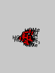 CN[C@H](CC(C)C)C(=O)N[C@H]1C(=O)N[C@@H](CC(N)=O)C(=O)N[C@H]2C(=O)N[C@H]3C(=O)N[C@H](C(=O)N[C@@H](C(=O)NOC)c4cc(O)cc(O)c4-c4cc3ccc4O)[C@H](O)c3ccc(c(Cl)c3)Oc3cc2cc(c3O[C@@H]2O[C@H](CO)[C@@H](O)[C@H](O)[C@H]2O[C@H]2C[C@](C)(NCc3cncc(NC(=O)c4ccc(OC(F)(F)F)cc4)c3)[C@H](O)[C@H](C)O2)Oc2ccc(cc2Cl)[C@H]1O